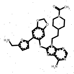 CC(=O)N1CCC(CCn2c(Sc3cc4c(cc3-c3ccc(CN)o3)OCO4)nc3c(N)ncnc32)CC1